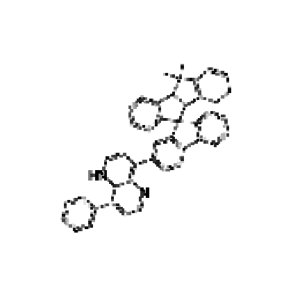 CC1(C)C2=C(CCC=C2)C2C1c1ccccc1C21c2ccccc2-c2ccc(C3=C4N=CC=C(c5ccccc5)C4NC=C3)cc21